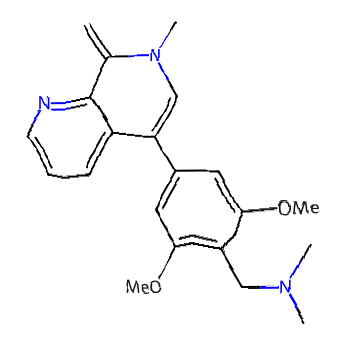 C=C1c2ncccc2C(c2cc(OC)c(CN(C)C)c(OC)c2)=CN1C